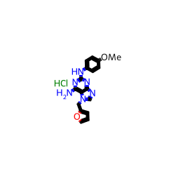 COc1ccc(Nc2nc(N)c3c(ncn3Cc3ccco3)n2)cc1.Cl